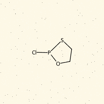 ClP1OCCS1